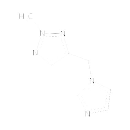 Cn1ncc(Cn2ccnc2)n1